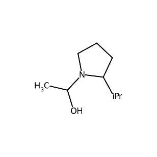 CC(C)C1CCCN1C(C)O